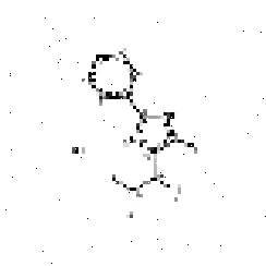 Cc1[nH]c(-c2ccccc2)nc1C(Cl)C(C)C.Cl